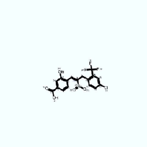 O=C(O)c1ccc(/C=C(/Cc2ccc(Cl)cc2C(F)(F)F)[N+](=O)[O-])c(O)c1